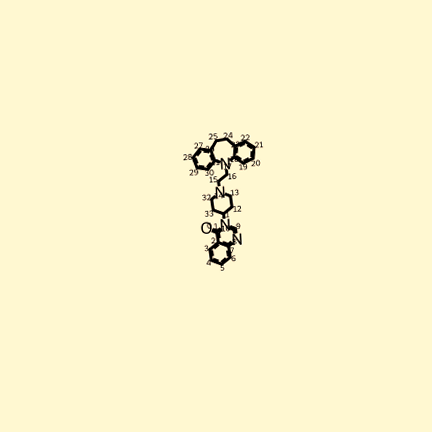 O=c1c2ccccc2ncn1C1CCN(CCN2c3ccccc3CCc3ccccc32)CC1